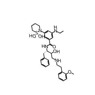 CCNc1cc(C(=O)N[C@@H](Cc2ccccc2)[C@@H](O)CNCCc2ccccc2OC)cc(N2CCCCS2(O)O)c1